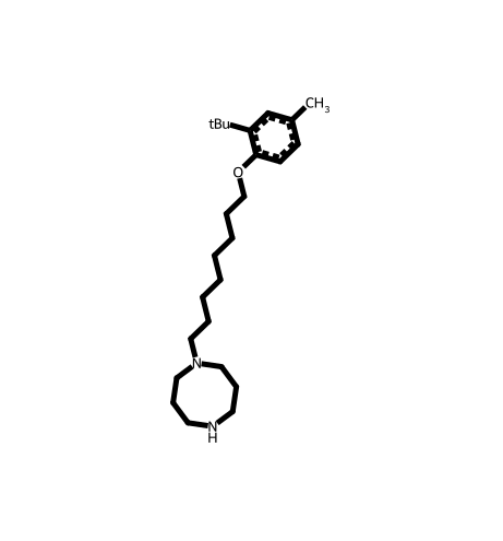 Cc1ccc(OCCCCCCCCN2CCCNCCC2)c(C(C)(C)C)c1